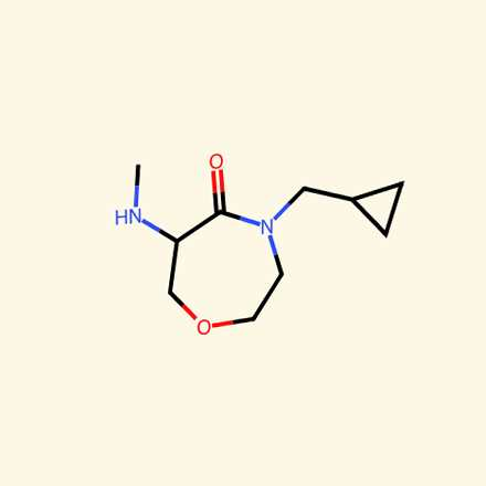 CNC1COCCN(CC2CC2)C1=O